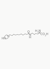 N[C@@H](CCCCNC(=O)CCCCCCCCCCN1CCNCC1)C(=O)O